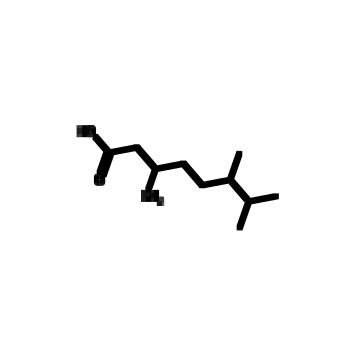 CC(C)C(C)CCC(N)CC(=O)O